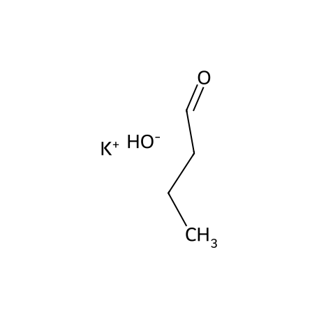 CCCC=O.[K+].[OH-]